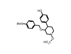 CSc1ccc(COC2CN(OC(=O)O)CCC2c2ccc(O)cc2)cc1